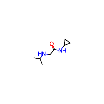 CC(C)NCC(=O)NC1CC1